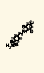 CC1(C)CC(=O)C(/C=N/CCc2ccc(S(N)(=O)=O)cc2)C(=O)C1